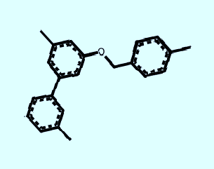 Cc1ccc(COc2cc(C)cc(-c3c[c]cc(C)c3)c2)cc1